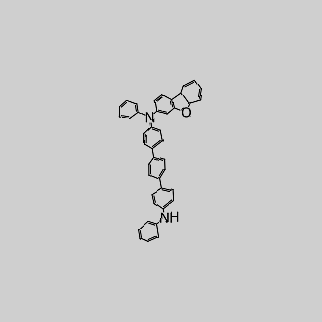 C1=CC2Oc3cc(N(c4ccccc4)c4ccc(-c5ccc(-c6ccc(Nc7ccccc7)cc6)cc5)cc4)ccc3C2C=C1